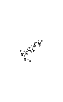 CN1CCN(c2ccc(-c3ccnc(N)n3)cn2)CC1